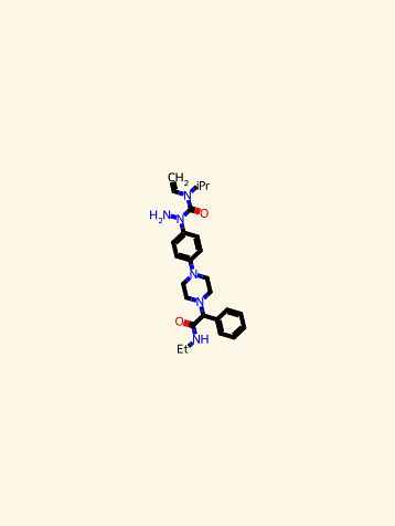 C=CN(C(=O)N(N)c1ccc(N2CCN(C(C(=O)NCC)c3ccccc3)CC2)cc1)C(C)C